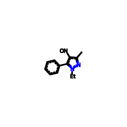 CCn1nc(C)c(N=O)c1-c1ccccc1